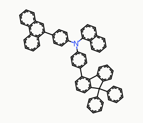 c1ccc(C2(c3ccccc3)c3ccccc3-c3c(-c4ccc(N(c5ccc(-c6cc7ccccc7c7ccccc67)cc5)c5cccc6ccccc56)cc4)cccc32)cc1